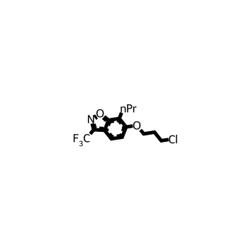 CCCc1c(OCCCCl)ccc2c(C(F)(F)F)noc12